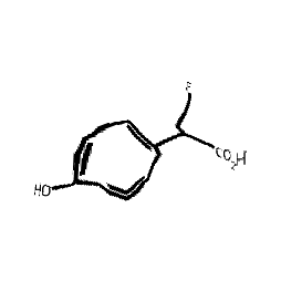 O=C(O)C(F)c1ccc(O)cc1